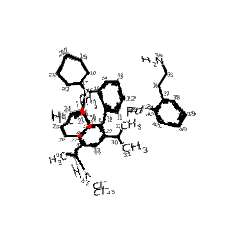 CC(C)c1cc(C(C)C)c(-c2ccccc2P(C2CCCCC2)C2CCCCC2)c(C(C)C)c1.NCCc1cccc[c]1[Pd+2].[Cl-].[Cl-]